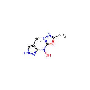 O=[N+]([O-])c1nnc(N(O)c2n[nH]cc2[N+](=O)[O-])o1